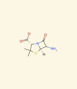 CC1(C)S[C@@H]2C(N)C(=O)N2[C@H]1C([O])=O